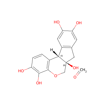 C=O.Oc1cc2c(cc1O)[C@H]1c3ccc(O)c(O)c3OC[C@@]1(O)C2